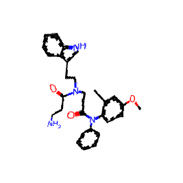 COc1ccc(N(C(=O)CN(CCc2c[nH]c3ccccc23)C(=O)CCN)c2ccccc2)c(C)c1